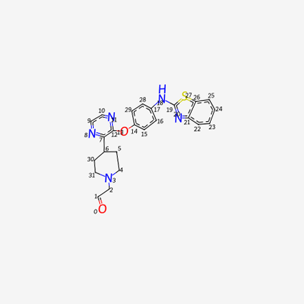 O=CCN1CCC(c2nccnc2Oc2ccc(Nc3nc4ccccc4s3)cc2)CC1